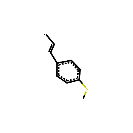 [CH2]C=Cc1ccc(SC)cc1